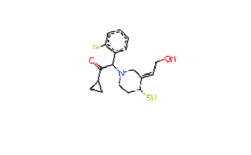 O=C(C1CC1)C(c1ccccc1F)N1CCC(S)C(=CCO)C1